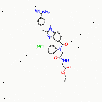 CCOC(=O)CNC(=O)CN(C(=O)c1ccc2c(c1)nc(Cc1ccc(C(=N)N)cc1)n2C)c1ccccc1.Cl